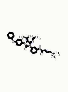 C=C/N=C1\C(=C(/C)N)N(c2ccc(Oc3ccccc3)cc2)C(=O)N1c1cccc(NC(=O)/C=C/CN(C)C)c1